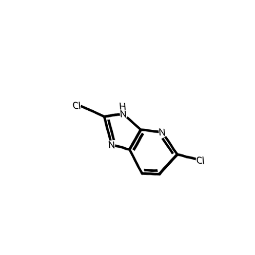 Clc1ccc2nc(Cl)[nH]c2n1